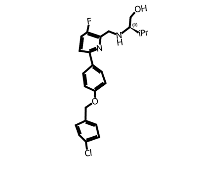 CC(C)[C@H](CO)NCc1nc(-c2ccc(OCc3ccc(Cl)cc3)cc2)ccc1F